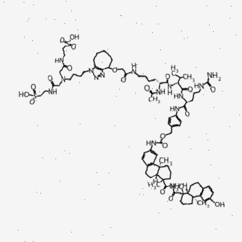 CC(=O)N[C@H](CCCCNC(=O)COC1CCCCCc2c1nnn2CCCCN(CC(=O)NCCS(=O)(=O)O)CC(=O)NCCS(=O)(=O)O)C(=O)N[C@H](C(=O)N[C@@H](CCCNC(N)=O)C(=O)Nc1ccc(COC(=O)Nc2ccc3c(c2)[C@@]2(C)CCC[C@](C)(C(=O)NC(=O)[C@@]4(C)CCC[C@]5(C)c6cc(O)ccc6CC[C@@H]45)[C@@H]2CC3)cc1)C(C)C